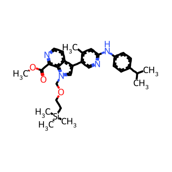 COC(=O)c1nccc2c(-c3cnc(Nc4ccc(C(C)C)cc4)cc3C)cn(COCC[Si](C)(C)C)c12